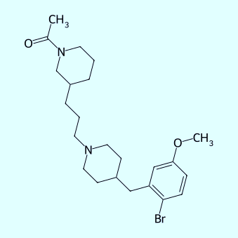 COc1ccc(Br)c(CC2CCN(CCCC3CCCN(C(C)=O)C3)CC2)c1